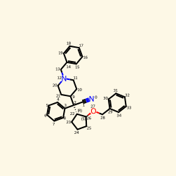 N#CC(c1ccccc1)(C1CCN(Cc2ccccc2)CC1)[C@H]1CCC[C@@H]1OCc1ccccc1